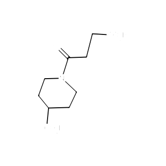 CCOC(=O)C1CCN(C(=O)CCC(=O)O)CC1